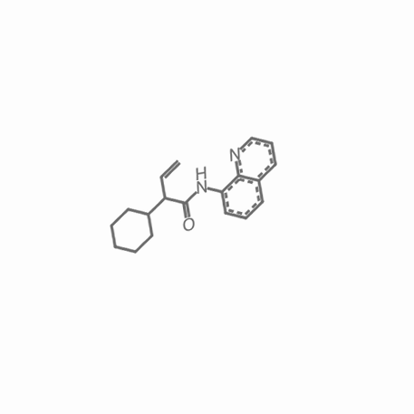 C=CC(C(=O)Nc1cccc2cccnc12)C1CCCCC1